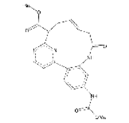 COC(=O)Nc1ccc2c(c1)NC(=O)C/C=C/CC(C(=O)OC(C)(C)C)c1cccc-2n1